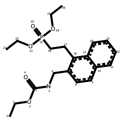 CCOC(=O)[N]Cc1ccc2ccccc2c1CCP(=O)(OCC)OCC